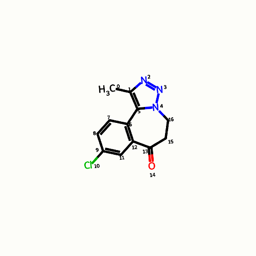 Cc1nnn2c1-c1ccc(Cl)cc1C(=O)CC2